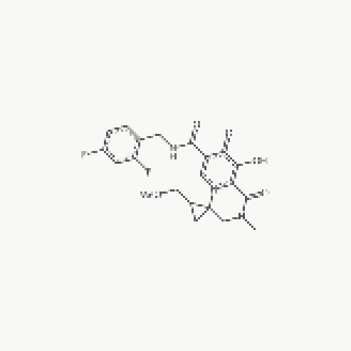 COCC1CC12CN(C)C(=O)c1c(O)c(=O)c(C(=O)NCc3ccc(F)cc3F)cn12